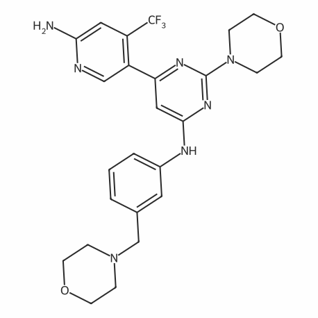 Nc1cc(C(F)(F)F)c(-c2cc(Nc3cccc(CN4CCOCC4)c3)nc(N3CCOCC3)n2)cn1